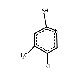 Cc1cc(S)ncc1Cl